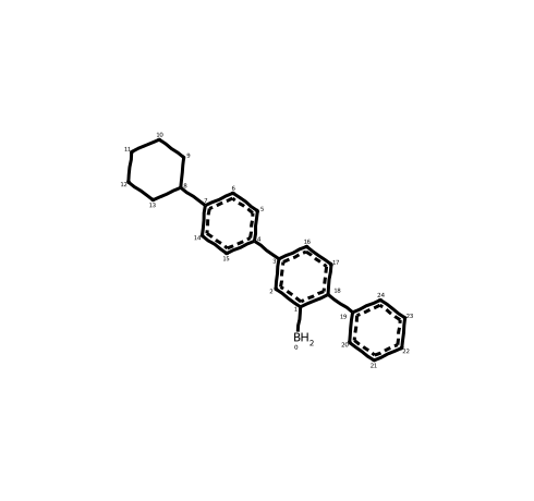 Bc1cc(-c2ccc(C3CCCCC3)cc2)ccc1-c1ccccc1